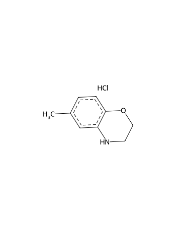 Cc1ccc2c(c1)NCCO2.Cl